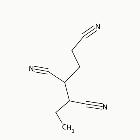 CCC(C#N)C(C#N)CCC#N